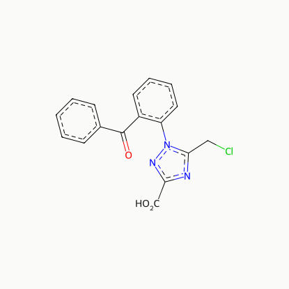 O=C(O)c1nc(CCl)n(-c2ccccc2C(=O)c2ccccc2)n1